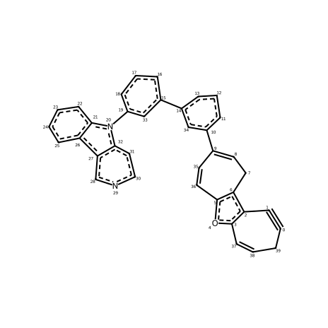 C1#Cc2c(oc3c2CC=C(c2cccc(-c4cccc(-n5c6ccccc6c6cnccc65)c4)c2)C=C3)C=CC1